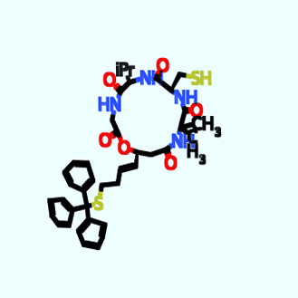 CC(C)[C@H]1NC(=O)[C@@H](CS)NC(=O)C(C)(C)NC(=O)C[C@@H](/C=C/CCSC(c2ccccc2)(c2ccccc2)c2ccccc2)OC(=O)CNC1=O